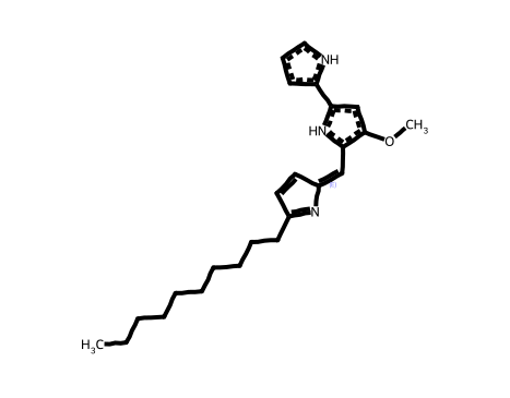 CCCCCCCCCCC1=N/C(=C/c2[nH]c(-c3ccc[nH]3)cc2OC)C=C1